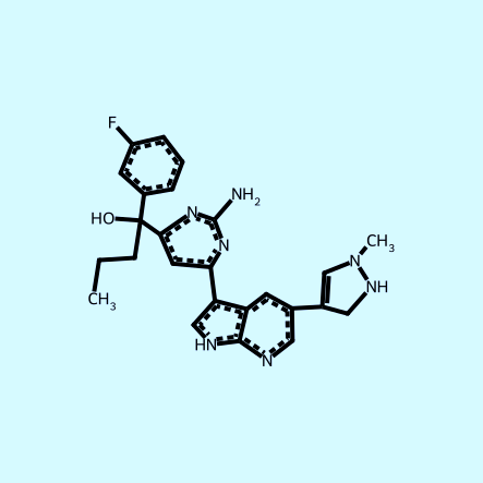 CCCC(O)(c1cccc(F)c1)c1cc(-c2c[nH]c3ncc(C4=CN(C)NC4)cc23)nc(N)n1